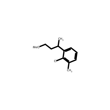 COCC[C](C)c1cccc(C)c1Cl